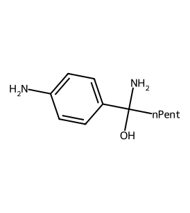 CCCCCC(N)(O)c1ccc(N)cc1